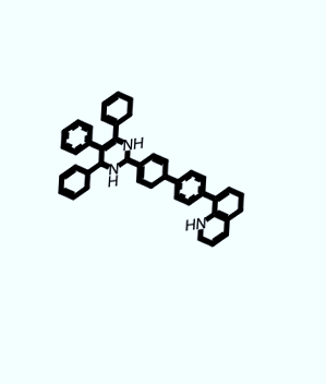 C1=CCCC(C2=C(c3ccccc3)C(C3C=CC=CC3)NC(C3=CCC(c4ccc(C5=CCCC6=C5NCC=C6)cc4)C=C3)N2)=C1